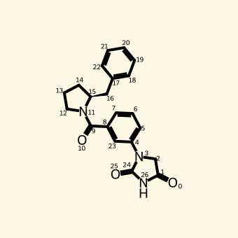 O=C1CN(c2cccc(C(=O)N3CCC[C@H]3Cc3ccccc3)c2)C(=O)N1